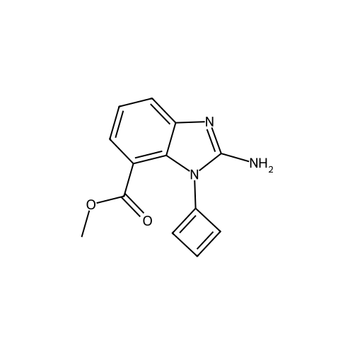 COC(=O)c1cccc2nc(N)n(C3=CC=C3)c12